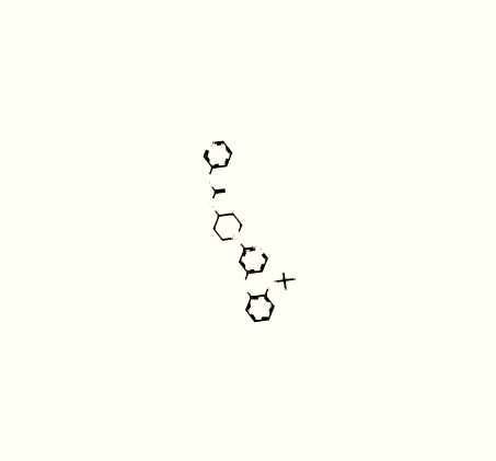 FC(F)(F)Oc1ccccc1Oc1ccnc(N2CCC(NC(=S)Nc3cccnc3)CC2)c1